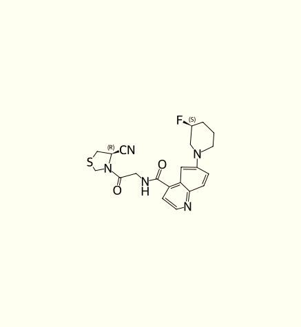 N#C[C@@H]1CSCN1C(=O)CNC(=O)c1ccnc2ccc(N3CCC[C@H](F)C3)cc12